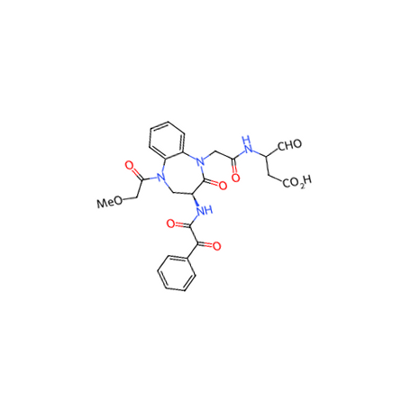 COCC(=O)N1C[C@H](NC(=O)C(=O)c2ccccc2)C(=O)N(CC(=O)NC(C=O)CC(=O)O)c2ccccc21